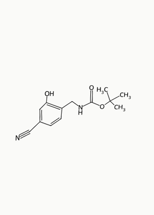 CC(C)(C)OC(=O)NCc1ccc(C#N)cc1O